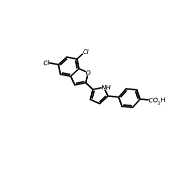 O=C(O)c1ccc(-c2ccc(-c3cc4cc(Cl)cc(Cl)c4o3)[nH]2)cc1